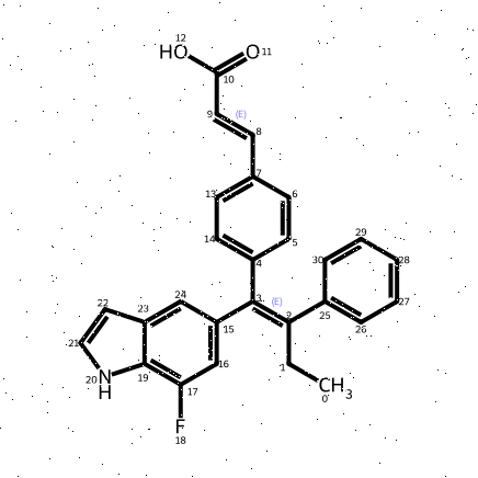 CC/C(=C(/c1ccc(/C=C/C(=O)O)cc1)c1cc(F)c2[nH]ccc2c1)c1ccccc1